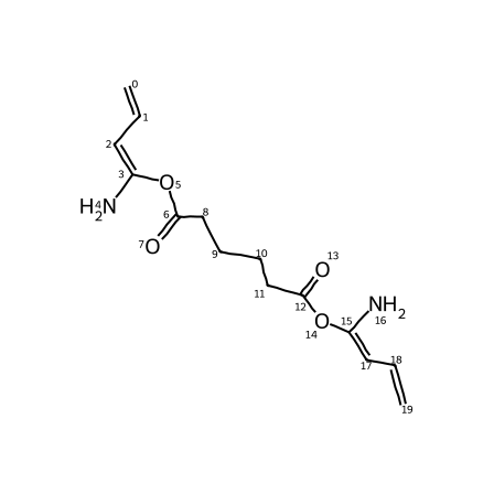 C=CC=C(N)OC(=O)CCCCC(=O)OC(N)=CC=C